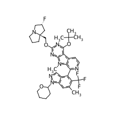 Cc1cc2c(cnn2C2CCCCO2)c(-c2nccc3c4c(OC(C)(C)C)nc(OC[C@@]56CCCN5C[C@H](F)C6)nc4n(C)c23)c1C(F)(F)F